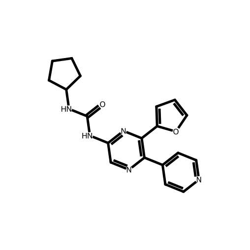 O=C(Nc1cnc(-c2ccncc2)c(-c2ccco2)n1)NC1CCCC1